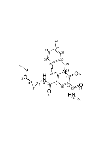 CCO[C@@H]1C[C@H]1NC(=O)c1cc(C(=O)NC)c(=O)n(Cc2cc(C)ccc2F)c1